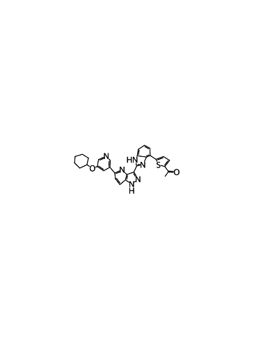 CC(=O)c1ccc(-c2cccc3[nH]c(-c4n[nH]c5ccc(-c6cncc(OC7CCCCC7)c6)nc45)nc23)s1